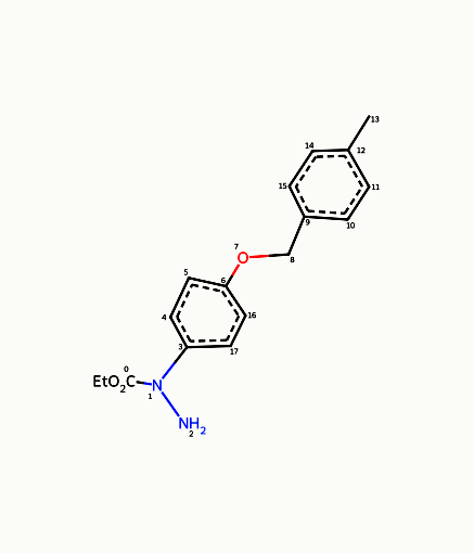 CCOC(=O)N(N)c1ccc(OCc2ccc(C)cc2)cc1